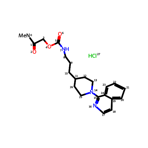 CNC(=O)COC(=O)NCCCC1CCN(c2nccc3ccccc23)CC1.Cl